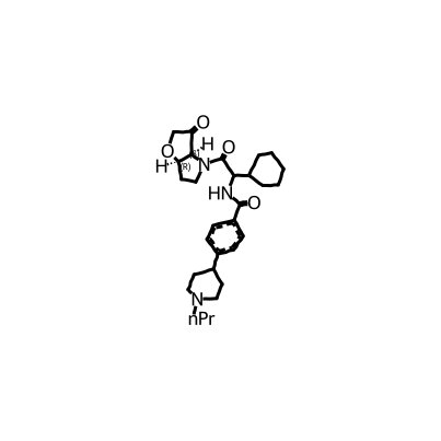 CCCN1CCC(c2ccc(C(=O)NC(C(=O)N3CC[C@H]4OCC(=O)[C@H]43)C3CCCCC3)cc2)CC1